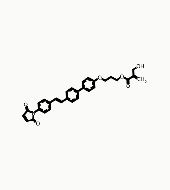 C=C(CO)C(=O)OCCCOc1ccc(-c2ccc(/C=C/c3ccc(N4C(=O)C=CC4=O)cc3)cc2)cc1